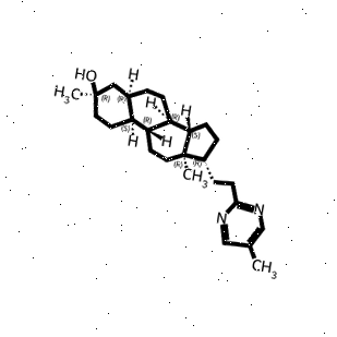 Cc1cnc(CC[C@H]2CC[C@H]3[C@@H]4CC[C@@H]5C[C@](C)(O)CC[C@@H]5[C@H]4CC[C@]23C)nc1